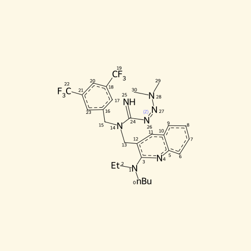 CCCCN(CC)c1nc2ccccc2cc1CN(Cc1cc(C(F)(F)F)cc(C(F)(F)F)c1)C(=N)/N=N\N(C)C